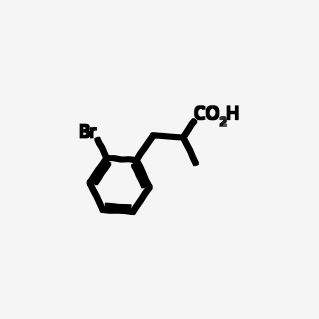 CC(Cc1ccccc1Br)C(=O)O